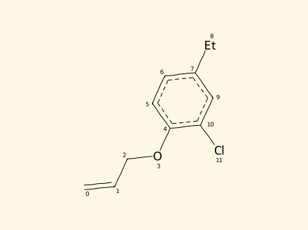 C=CCOc1ccc(CC)cc1Cl